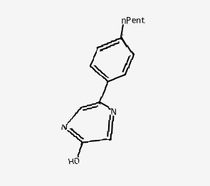 CCCCCc1ccc(-c2cnc(O)cn2)cc1